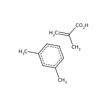 C=C(C)C(=O)O.Cc1cccc(C)c1